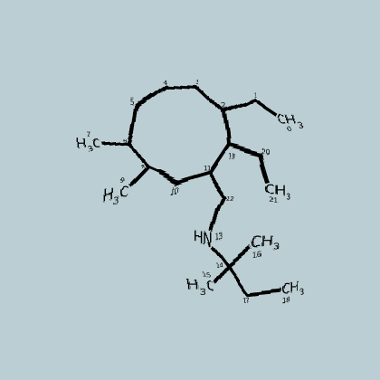 CCC1CCCC(C)C(C)CC(CNC(C)(C)CC)C1CC